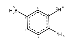 [2H]c1ccc(B)cc1[2H]